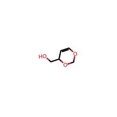 OCC1C=COCO1